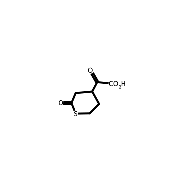 O=C1CC(C(=O)C(=O)O)CCS1